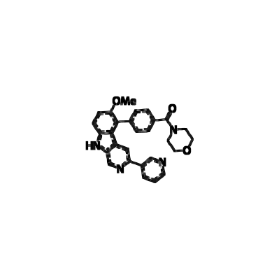 COc1ccc2[nH]c3cnc(-c4cccnc4)cc3c2c1-c1ccc(C(=O)N2CCOCC2)cc1